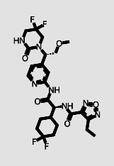 CCc1nonc1C(=O)N[C@H](C(=O)Nc1cc([C@@H](COC)N2CC(F)(F)CNC2=O)ccn1)C1CCC(F)(F)CC1